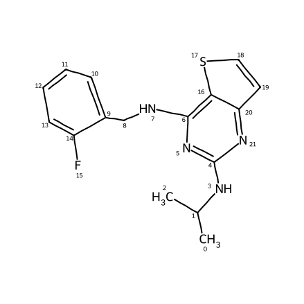 CC(C)Nc1nc(NCc2ccccc2F)c2sccc2n1